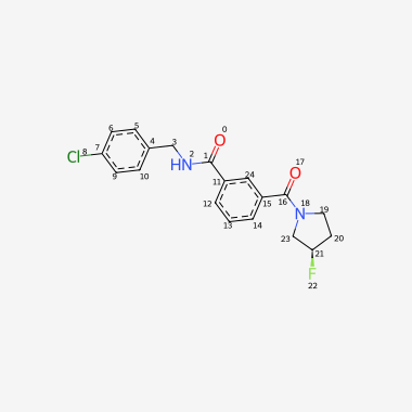 O=C(NCc1ccc(Cl)cc1)c1cccc(C(=O)N2CC[C@@H](F)C2)c1